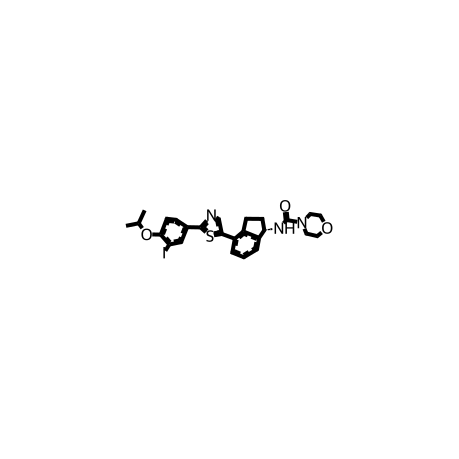 CC(C)Oc1ccc(-c2ncc(-c3cccc4c3CC[C@@H]4NC(=O)N3CCOCC3)s2)cc1I